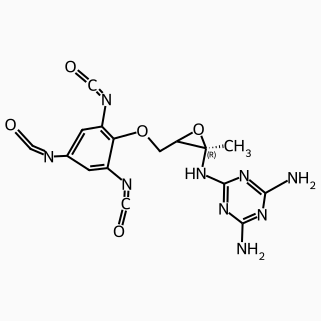 C[C@@]1(Nc2nc(N)nc(N)n2)OC1COc1c(N=C=O)cc(N=C=O)cc1N=C=O